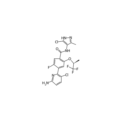 Cc1n[nH]c(Cl)c1NC(=O)c1cc(F)c(-c2nc(N)ccc2Cl)cc1O[C@@H](C)C(F)(F)F